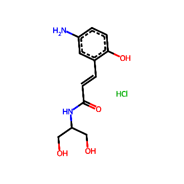 Cl.Nc1ccc(O)c(/C=C/C(=O)NC(CO)CO)c1